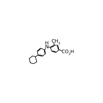 Cc1cc(C(=O)O)ccc1Nc1ccc(C2CCCCC2)cc1